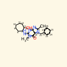 Cc1nc2nc(NC3CCCCCC3O)n(C)c(=O)c2n1Cc1ccccc1